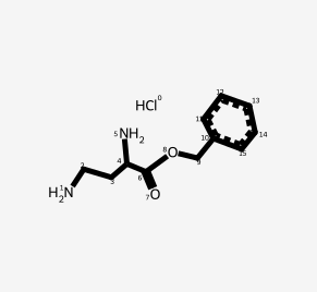 Cl.NCCC(N)C(=O)OCc1ccccc1